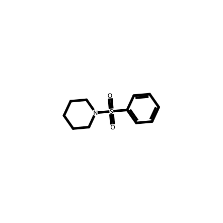 O=S(=O)(c1ccccc1)N1CCCCC1